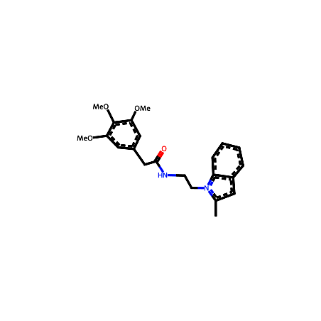 COc1cc(CC(=O)NCCn2c(C)cc3ccccc32)cc(OC)c1OC